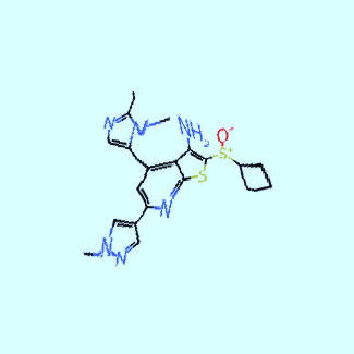 Cc1ncc(-c2cc(-c3cnn(C)c3)nc3sc([S+]([O-])C4CCC4)c(N)c23)n1C